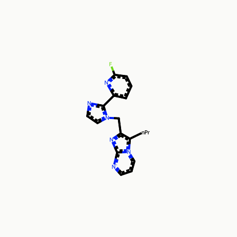 CCCc1c(Cn2ccnc2-c2cccc(F)n2)nc2ncccn12